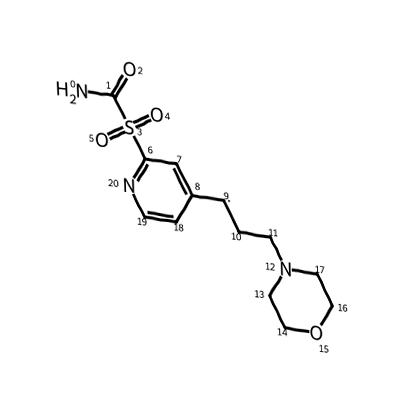 NC(=O)S(=O)(=O)c1cc([CH]CCN2CCOCC2)ccn1